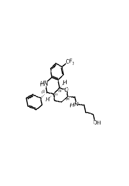 OCCCNC[C@H]1CC[C@@H]2[C@H](O1)c1cc(C(F)(F)F)ccc1N[C@H]2C1C=CC=CC1